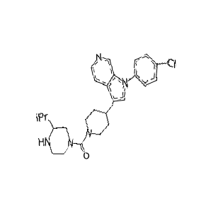 CC(C)C1CN(C(=O)N2CCC(c3cn(-c4ccc(Cl)cc4)c4cnccc34)CC2)CCN1